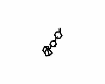 c1cc(C23CC4CC(CC(C4)C2)C3)ccc1N1CCNCC1